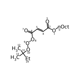 CCCCCCCCOC(=O)C=CC(=O)OOOC(C)(C)CC